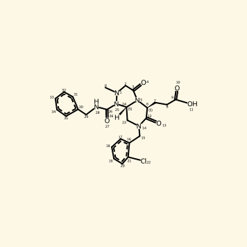 CN1CC(=O)N2[C@@H](CCC(=O)O)C(=O)N(Cc3ccccc3Cl)C[C@@H]2N1C(=O)NCc1ccccc1